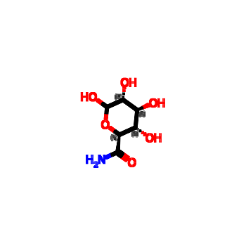 NC(=O)[C@H]1OC(O)[C@H](O)[C@@H](O)[C@@H]1O